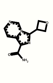 NC(=O)c1nc(C2COC2)n2cnccc12